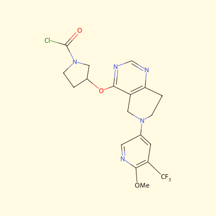 COc1ncc(N2CCc3ncnc(OC4CCN(C(=O)Cl)C4)c3C2)cc1C(F)(F)F